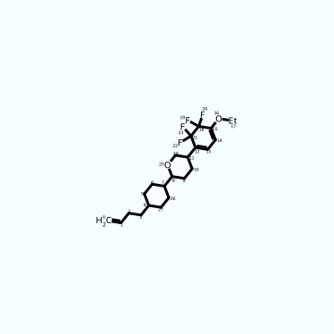 C=CCCC1CCC(C2CCC(C3=CC=C(OCC)C(F)(F)C3(F)F)CO2)CC1